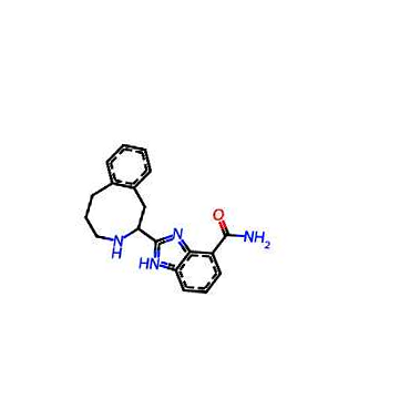 NC(=O)c1cccc2[nH]c(C3Cc4ccccc4CCCN3)nc12